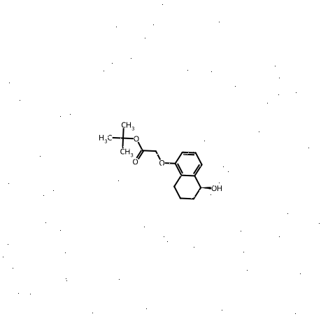 CC(C)(C)OC(=O)COc1cccc2c1CCC[C@@H]2O